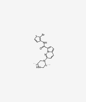 C[C@@H]1CN(c2ccc3ccc(C(=O)Nc4ccsc4Br)n3n2)[C@H](C)CN1